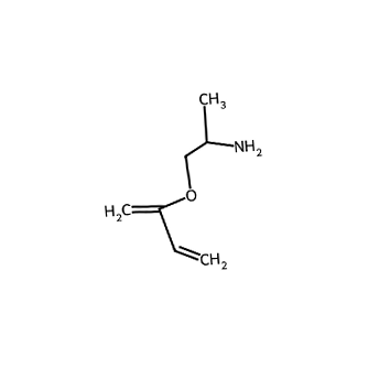 C=CC(=C)OCC(C)N